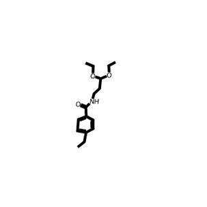 CCOC(CCNC(=O)c1ccc(CC)cc1)OCC